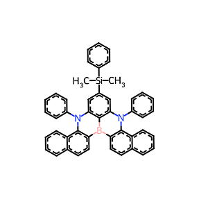 C[Si](C)(c1ccccc1)c1cc2c3c(c1)N(c1ccccc1)c1c(ccc4ccccc14)B3c1ccc3ccccc3c1N2c1ccccc1